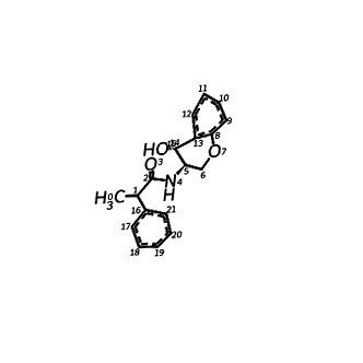 CC(C(=O)N[C@@H]1COc2ccccc2[C@H]1O)c1ccccc1